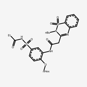 CCCCCCOc1ccc(S(=O)(=O)NC(=O)CC)cc1NC(=O)CC1=Nc2ccccc2S(=O)(=O)N1CCCC